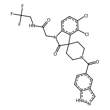 O=C(CN1C(=O)C2(CCN(C(=O)c3ccc4[nH]ncc4c3)CC2)c2c1ccc(Cl)c2Cl)NCC(F)(F)F